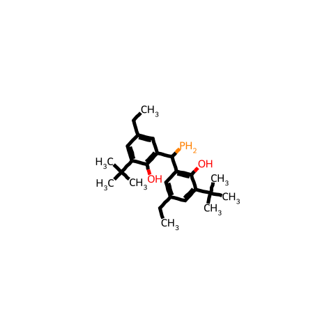 CCc1cc(C(P)c2cc(CC)cc(C(C)(C)C)c2O)c(O)c(C(C)(C)C)c1